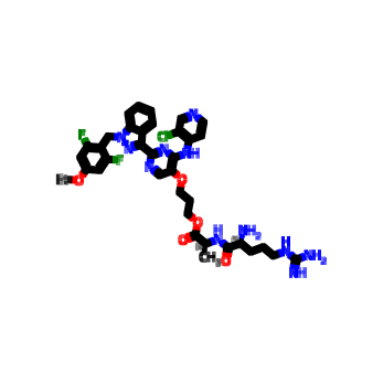 CCOc1cc(F)c(Cn2nc(-c3ncc(OCCCOC(=O)[C@H](C)NC(=O)[C@@H](N)CCCNC(=N)N)c(Nc4ccncc4Cl)n3)c3ccccc32)c(F)c1